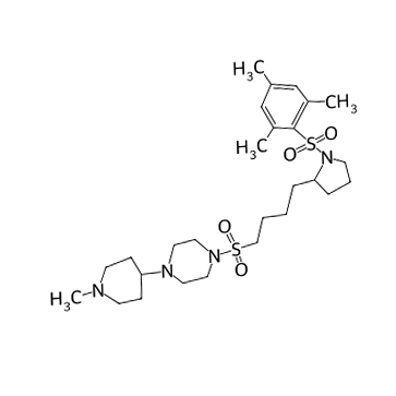 Cc1cc(C)c(S(=O)(=O)N2CCCC2CCCCS(=O)(=O)N2CCN(C3CCN(C)CC3)CC2)c(C)c1